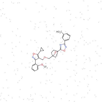 O=C(O)c1cccc(-c2noc(C34CCC(COCc5c(-c6ccccc6OC(F)(F)F)noc5C5CC5)(CC3)CO4)n2)c1